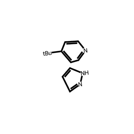 CC(C)(C)c1ccncc1.c1cn[nH]c1